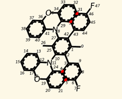 Cc1c(-c2ccc(F)cc2)c(N2c3ccccc3Oc3ccccc32)c(C)c(N2c3ccccc3Oc3ccccc32)c1-c1ccc(F)cc1